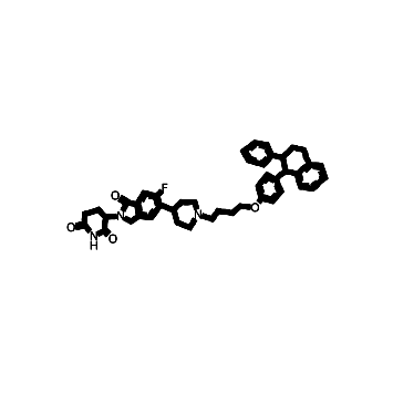 O=C1CCC(N2Cc3cc(C4CCN(CCCCOc5ccc(C6c7ccccc7CCC6c6ccccc6)cc5)CC4)c(F)cc3C2=O)C(=O)N1